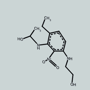 CCc1ccc(NCCO)c([N+](=O)[O-])c1NC(C)O